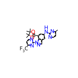 Cc1ccnc(Nc2cc(B3OC(C)(C)C(C)(C)O3)c3c(cnn3-c3nccc(C(F)(F)F)n3)c2)n1